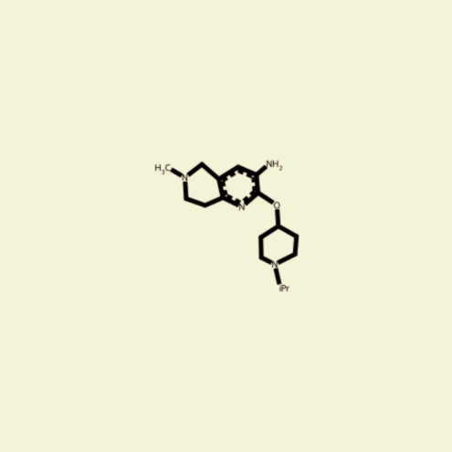 CC(C)N1CCC(Oc2nc3c(cc2N)CN(C)CC3)CC1